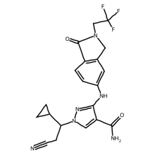 N#CCC(C1CC1)n1cc(C(N)=O)c(Nc2ccc3c(c2)CN(CC(F)(F)F)C3=O)n1